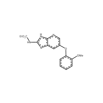 CCOC(=O)Nc1nc2cc(Oc3ccccc3OC)cnc2[nH]1